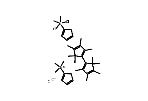 CC1=C(C)C(C)(C)C(C2=C(C)C(C)=C(C)C2(C)C)=C1C.[CH3][Zr+2]([CH3])([CH3])[C]1=CC=CC1.[CH3][Zr]([CH3])([Cl])([Cl])[C]1=CC=CC1.[Cl-].[Cl-]